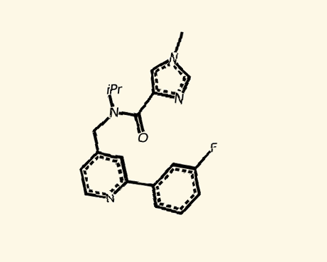 CC(C)N(Cc1ccnc(-c2cccc(F)c2)c1)C(=O)c1cn(C)cn1